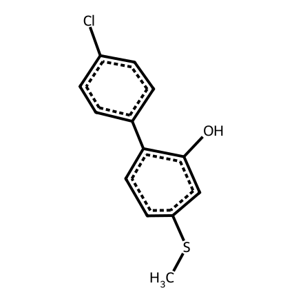 CSc1ccc(-c2ccc(Cl)cc2)c(O)c1